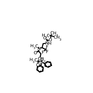 CN(C(=O)CCO[Si](c1ccccc1)(c1ccccc1)C(C)(C)C)C(CNC(=O)OC(C)(C)C)C(F)(F)F